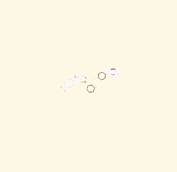 CS(=O)(=O)N1CCN(C(=O)N2C[C@@H](COc3ccc(-n4ccnc4)cc3)[C@H](c3ccc(Cl)c(Cl)c3)C2)CC1